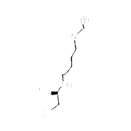 CC(C)(C)CNCCCCNC(=O)CC(C)(C)C